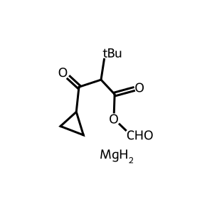 CC(C)(C)C(C(=O)OC=O)C(=O)C1CC1.[MgH2]